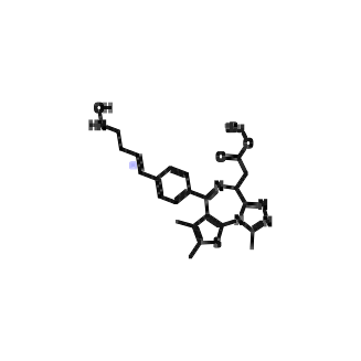 Cc1sc2c(c1C)C(c1ccc(/C=C/CCNO)cc1)=NC(CC(=O)OC(C)(C)C)c1nnc(C)n1-2